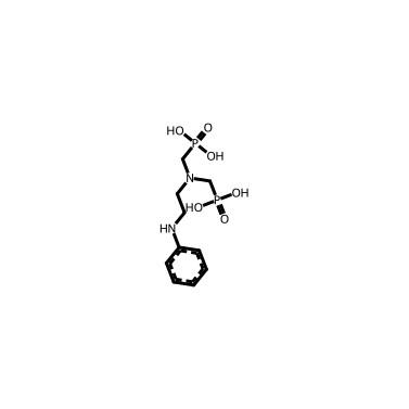 O=P(O)(O)CN(CCNc1ccccc1)CP(=O)(O)O